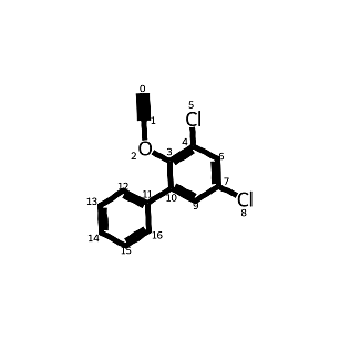 C#COc1c(Cl)cc(Cl)cc1-c1ccccc1